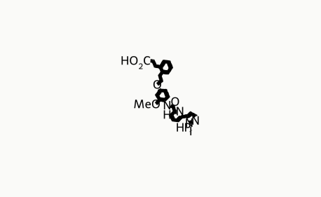 COc1cc(OCCc2ccccc2CCC(=O)O)ccc1NC(=O)c1cccc(-c2ccnn2PI)n1